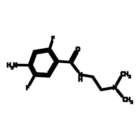 CN(C)CCNC(=O)c1cc(F)c(N)cc1F